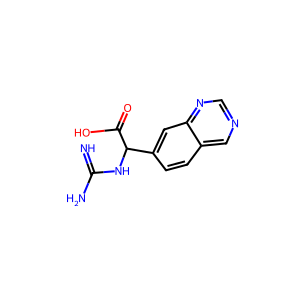 N=C(N)NC(C(=O)O)c1ccc2cncnc2c1